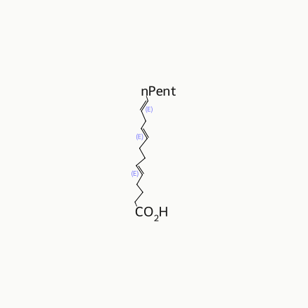 CCCCC/C=C/C/C=C/CC/C=C/CCCC(=O)O